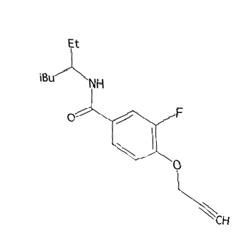 C#CCOc1ccc(C(=O)NC(CC)C(C)CC)cc1F